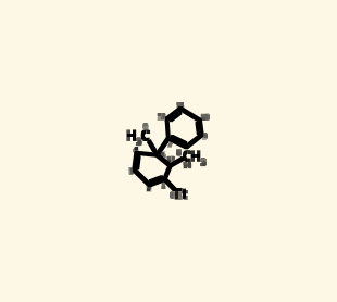 CCC1=CC=CC(C)(c2ccccc2)C1C